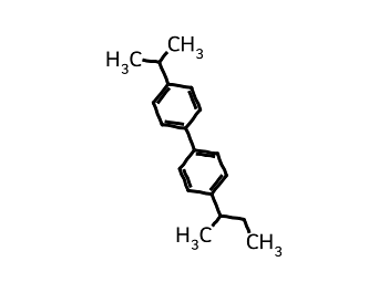 CCC(C)c1ccc(-c2ccc(C(C)C)cc2)cc1